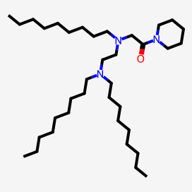 CCCCCCCCCN(CCCCCCCCC)CCN(CCCCCCCCC)CC(=O)N1CCCCC1